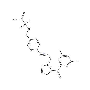 Cc1cc(C)cc(C(=O)C2CC=CN2C/C=C/c2ccc(COC(C)(C)C(=O)O)cc2)c1